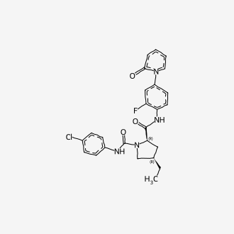 CC[C@@H]1C[C@H](C(=O)Nc2ccc(-n3ccccc3=O)cc2F)N(C(=O)Nc2ccc(Cl)cc2)C1